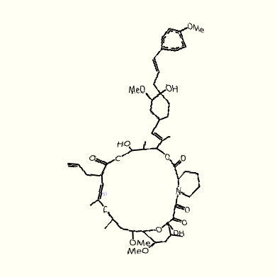 C=CCC1/C=C(\C)CC(C)CC(OC)C2OC(O)(C(=O)C(=O)N3CCCCC3C(=O)OC(C(C)=CC3CCC(O)(CC=Cc4ccc(OC)cc4)C(OC)C3)C(C)C(O)CC1=O)C(C)CC2OC